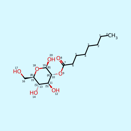 CCCCCCCC(=O)O[C@@H]1[C@@H](O)[C@H](O)[C@@H](CO)O[C@H]1O